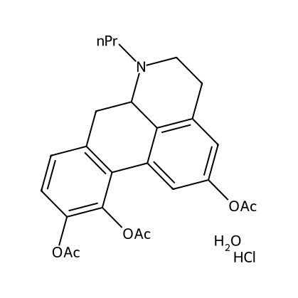 CCCN1CCc2cc(OC(C)=O)cc3c2C1Cc1ccc(OC(C)=O)c(OC(C)=O)c1-3.Cl.O